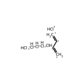 C=CC=C.Cl.Cl.Cl.Cl.Cl.Cl